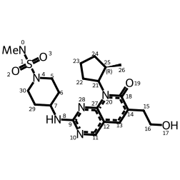 CNS(=O)(=O)N1CCC(Nc2ncc3cc(CCO)c(=O)n(C4CCC[C@H]4C)c3n2)CC1